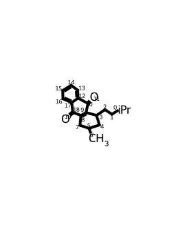 CC(C)CCC1CC(C)CC2=C1C(=O)c1ccccc1C2=O